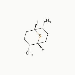 C[C@@H]1CC[C@H]2S[C@@H]1CC[C@H]2C